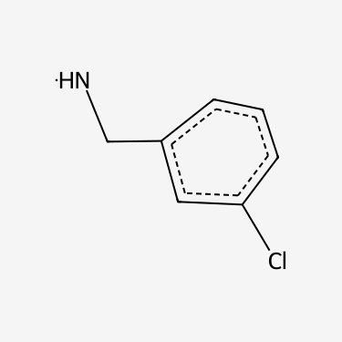 [NH]Cc1cccc(Cl)c1